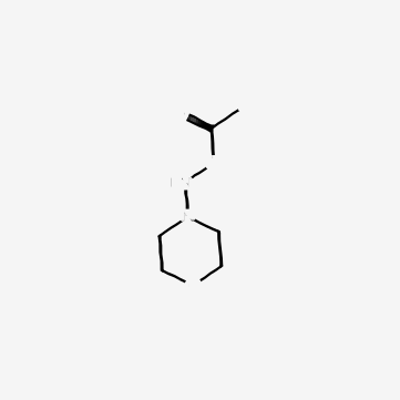 CC(=O)ONN1CCOCC1